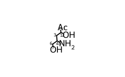 CC(=O)C(O)CC(N)CO